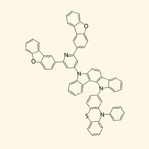 c1ccc(N2c3ccccc3Sc3ccc(-n4c5ccccc5c5ccc6c(c7ccccc7n6-c6cc(-c7ccc8oc9ccccc9c8c7)nc(-c7ccc8oc9ccccc9c8c7)c6)c54)cc32)cc1